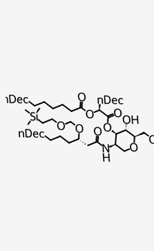 CCCCCCCCCCCCCCCC(=O)O[C@@H](CCCCCCCCCC)C(=O)O[C@H]1[C@H](O)[C@@H](CO)OC[C@H]1NC(=O)C[C@H](CCCCCCCCCCCCC)OCOCC[Si](C)(C)C